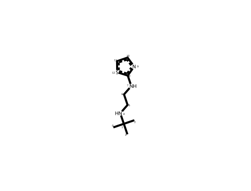 CC(C)(C)NCCNc1nccs1